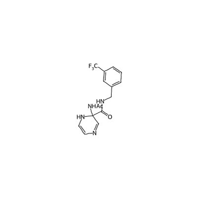 CC(=O)NC1(C(=O)NCc2cccc(C(F)(F)F)c2)C=NC=CN1